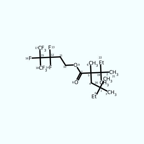 CCC(C)(C)CC(C)(C(=O)OCCC(F)(F)C(F)(C(F)(F)F)C(F)(F)F)C(C)(C)CC